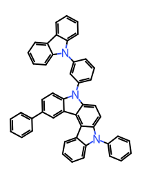 c1ccc(-c2ccc3c(c2)c2c4c5ccccc5n(-c5ccccc5)c4ccc2n3-c2cccc(-n3c4ccccc4c4ccccc43)c2)cc1